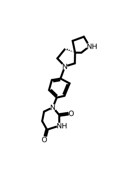 O=C1CCN(c2ccc(N3CC[C@@]4(CCNC4)C3)cc2)C(=O)N1